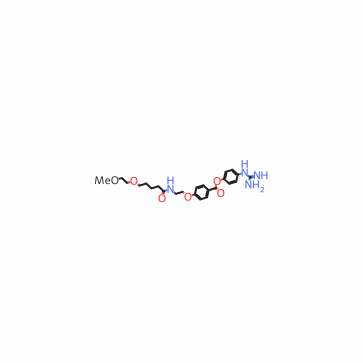 COCCOCCCCC(=O)NCCOc1ccc(C(=O)Oc2ccc(NC(=N)N)cc2)cc1